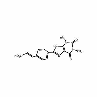 CCCn1c(=O)n(C)c(=O)c2nc(-c3ccc(/C=C/C(=O)O)cc3)[nH]c21